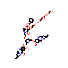 C/C=C1\CC2C=Nc3cc(OCc4cc(OCCN(CC(C)(C)SC(=O)OCc5ccccc5)C(=O)CCOCCOCCOCCOCCOCCOC)cc(COc5cc6c(cc5OC)C(=O)N5C/C(=C/C)CC5C=N6)n4)c(OC)cc3C(=O)N2C1